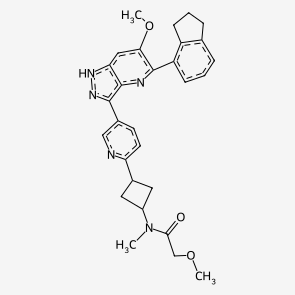 COCC(=O)N(C)C1CC(c2ccc(-c3n[nH]c4cc(OC)c(-c5cccc6c5CCC6)nc34)cn2)C1